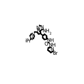 CC(C)N1CCN(Cc2cc(-c3ccc(NC(=O)Nc4cccc(Br)n4)cc3)c3c(N)ncnn23)CC1